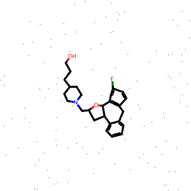 OCCCC1CCN(CC2CC3c4ccccc4Cc4ccc(F)cc4C3O2)CC1